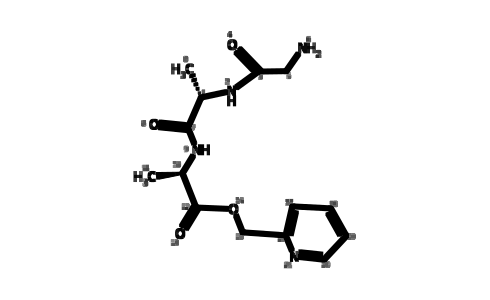 C[C@H](NC(=O)CN)C(=O)N[C@H](C)C(=O)OCc1ccccn1